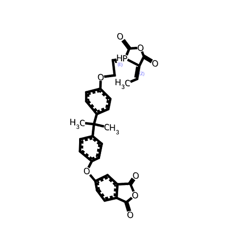 C/C=C1/C(=O)OC(=O)/[PH]1=C/COc1ccc(C(C)(C)c2ccc(Oc3ccc4c(c3)C(=O)OC4=O)cc2)cc1